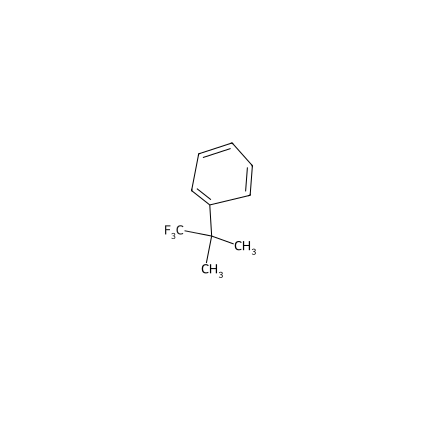 CC(C)(c1ccccc1)C(F)(F)F